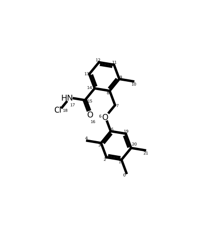 Cc1cc(C)c(OCc2c(C)cccc2C(=O)NCl)cc1C